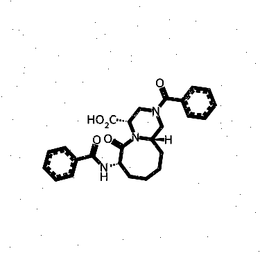 O=C(N[C@H]1CCCC[C@H]2CN(C(=O)c3ccccc3)C[C@@H](C(=O)O)N2C1=O)c1ccccc1